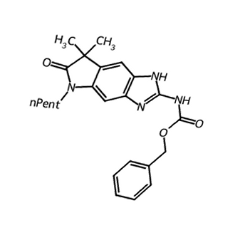 CCCCCN1C(=O)C(C)(C)c2cc3[nH]c(NC(=O)OCc4ccccc4)nc3cc21